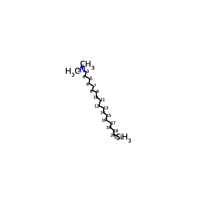 CN(C)CCCCCCCCCCCCCCCCCC[SiH3]